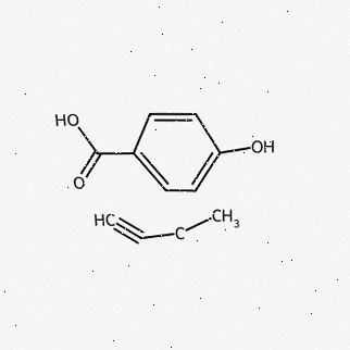 C#CCC.O=C(O)c1ccc(O)cc1